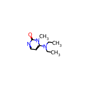 CCN(CC)c1ccnc(=O)n1C